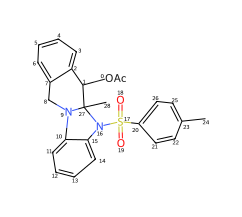 CC(=O)OC1c2ccccc2CN2c3ccccc3N(S(=O)(=O)c3ccc(C)cc3)C12C